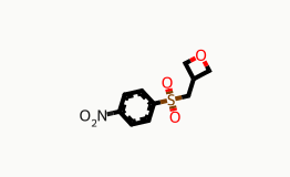 O=[N+]([O-])c1ccc(S(=O)(=O)CC2COC2)cc1